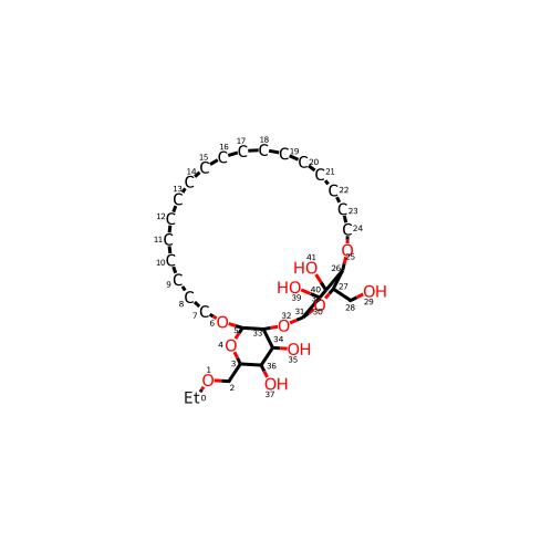 CCOCC1OC2OCCCCCCCCCCCCCCCCCCOC3C(CO)OC(OC2C(O)C1O)C(O)C3O